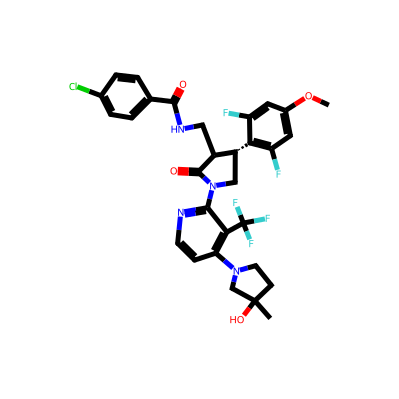 COc1cc(F)c([C@@H]2CN(c3nccc(N4CCC(C)(O)C4)c3C(F)(F)F)C(=O)C2CNC(=O)c2ccc(Cl)cc2)c(F)c1